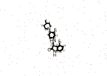 CC1CCN(c2ccc(N/C=C3/C(=O)Nc4cccc(F)c43)cc2F)CC1